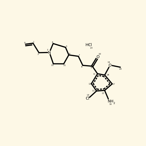 C=CCN1CCC(CCC(=O)c2cc(Cl)c(N)cc2OC)CC1.Cl